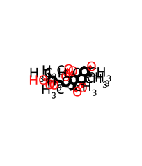 CC(=O)OC1C(=O)C2=C(C(=O)C[C@@]3(C)C(C)(C)C(=O)CC[C@]23C)[C@]2(C)C(=O)C[C@H]([C@H](C)CC(=O)CC(C)C(=O)O)[C@@]12C